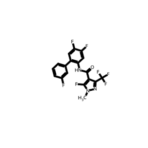 Cn1nc(C(F)(F)F)c(C(=O)Nc2cc(F)c(F)cc2-c2cccc(F)c2)c1F